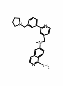 Nc1nccc2cc(NCc3ccnc(-c4cccc(CN5CCCC5)c4)c3)ccc12